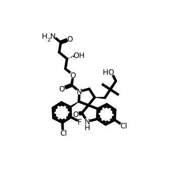 CC(C)(CO)C[C@@H]1CN(C(=O)OC[C@@H](O)CC(N)=O)[C@H](c2cccc(Cl)c2F)C12C(=O)Nc1cc(Cl)ccc12